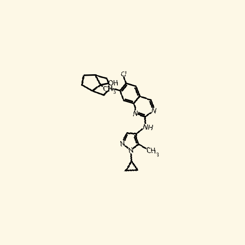 Cc1c(Nc2ncc3cc(Cl)c(N4CC5CCC(C4)C5(C)O)cc3n2)cnn1C1CC1